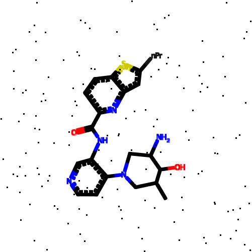 CCCc1cc2nc(C(=O)Nc3cnccc3N3CC(C)C(O)C(N)C3)ccc2s1